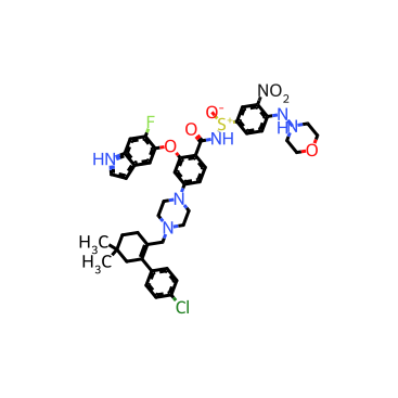 CC1(C)CCC(CN2CCN(c3ccc(C(=O)N[S+]([O-])c4ccc(NN5CCOCC5)c([N+](=O)[O-])c4)c(Oc4cc5cc[nH]c5cc4F)c3)CC2)=C(c2ccc(Cl)cc2)C1